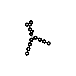 CC1(C)c2cc(-c3cc4ccccc4c4ccccc34)ccc2-c2ccc(-n3c4ccc(-c5ccc(-c6ccc(-c7ccccc7)cc6)cc5)cc4c4cc(-c5ccc(-c6ccc(-c7ccccc7)cc6)cc5)ccc43)cc21